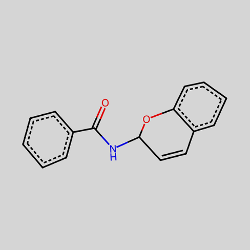 O=C(NC1C=Cc2ccccc2O1)c1ccccc1